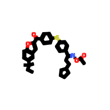 CCC(C)(C)c1ccc2oc(C(=O)c3ccc(Sc4ccc(C(CCC5CCCC5)=NOC(C)=O)cc4)cc3)cc2c1